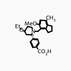 CCO[C@H]1CCN(Cc2c(OC)cc(C)c3c2CCC3)[C@H](c2ccc(C(=O)O)cc2)C1